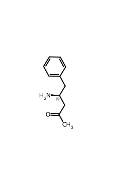 CC(=O)C[C@@H](N)Cc1ccccc1